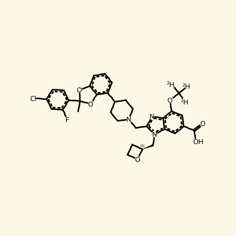 [2H]C([2H])([2H])Oc1cc(C(=O)O)cc2c1nc(CN1CCC(c3cccc4c3OC(C)(c3ccc(Cl)cc3F)O4)CC1)n2C[C@@H]1CCO1